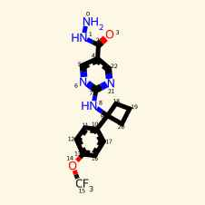 NNC(=O)c1cnc(NC2(c3ccc(OC(F)(F)F)cc3)CCC2)nc1